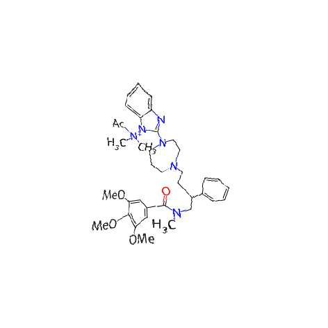 COc1cc(C(=O)N(C)CC(CCN2CCCN(c3nc4ccccc4n3[N+](C)(C)C(C)=O)CC2)c2ccccc2)cc(OC)c1OC